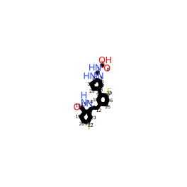 O=C(O)Nc1nc2cc(-c3cc(Cc4n[nH]c(=O)c5ccc(F)cc45)ccc3F)ccc2[nH]1